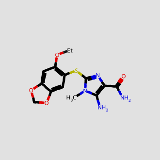 CCOc1cc2c(cc1Sc1nc(C(N)=O)c(N)n1C)OCO2